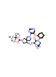 CC(C)C(=O)N(CC#N)c1cc(F)ccc1Oc1cncnc1N1CCC2(CCN(C(=O)OC(C)(C)C)C2)C1